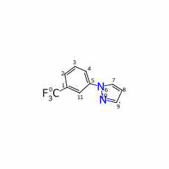 FC(F)(F)c1cccc(-n2cc[c]n2)c1